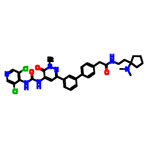 CCn1nc(-c2cccc(-c3ccc(CC(=O)NCCC4(N(C)C)CCCC4)cc3)c2)cc(NC(=O)Nc2c(Cl)cncc2Cl)c1=O